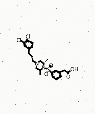 CC1CN(CCCc2ccc(Cl)c(Cl)c2)C[C@H](C)N1S(=O)(=O)c1cccc(CC(=O)O)c1